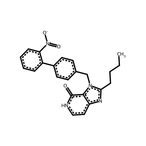 CCCCc1nc2cc[nH]c(=O)c2n1Cc1ccc(-c2ccccc2[N+](=O)[O-])cc1